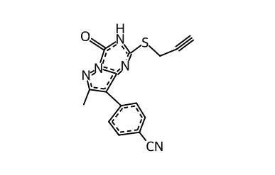 C#CCSc1nc2c(-c3ccc(C#N)cc3)c(C)nn2c(=O)[nH]1